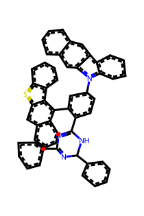 c1ccc(C2=NC(c3ccccc3)NC(c3ccc(-n4c5ccccc5c5cc6ccccc6cc54)cc3-c3c4ccccc4cc4sc5ccccc5c34)=N2)cc1